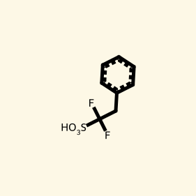 O=S(=O)(O)C(F)(F)Cc1ccccc1